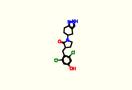 O=C1C(Cc2c(Cl)cc(O)cc2Cl)CCN1C1CCc2n[nH]cc2C1